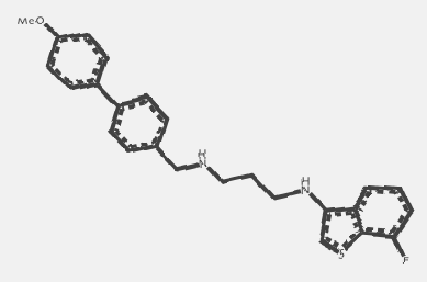 COc1ccc(-c2ccc(CNCCCNc3csc4c(F)cccc34)cc2)cc1